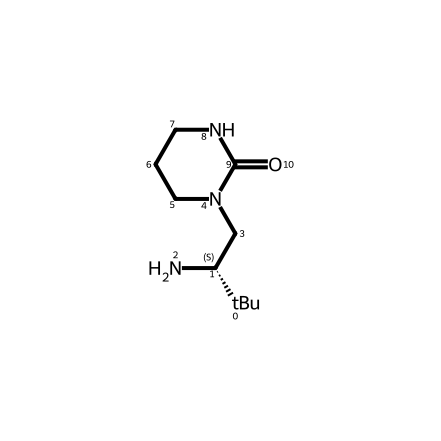 CC(C)(C)[C@H](N)CN1CCCNC1=O